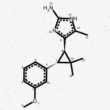 COc1cccc([C@@H]2[C@@H](c3nc(N)[nH]c3C)C2(C)C)c1